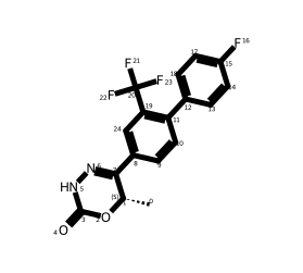 C[C@@H]1OC(=O)NN=C1c1ccc(-c2ccc(F)cc2)c(C(F)(F)F)c1